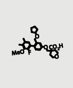 COc1c(C)c(C)cc(-c2ccc(OCC3(C(=O)O)CCOCC3)cc2COC2CCCC2)c1F